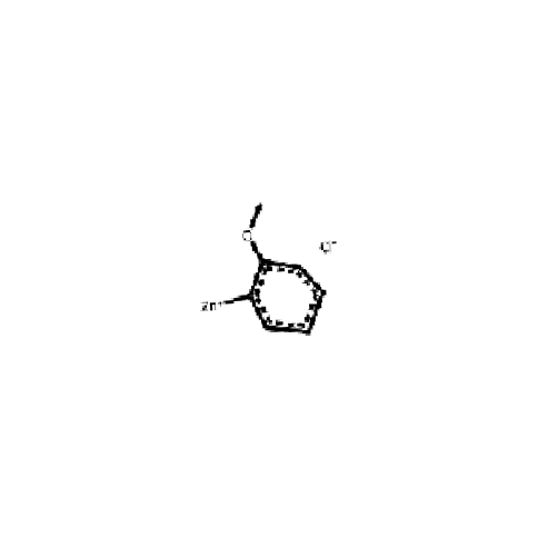 COc1cccc[c]1[Zn+].[Cl-]